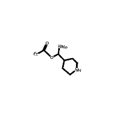 CCC(=O)OC(NC)C1CCNCC1